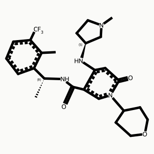 Cc1c([C@@H](C)NC(=O)c2cn(C3CCOCC3)c(=O)cc2N[C@H]2CCN(C)C2)cccc1C(F)(F)F